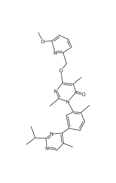 COc1cccc(COc2nc(C)n(-c3cc(-c4nc(C(C)C)ncc4C)ccc3C)c(=O)c2C)n1